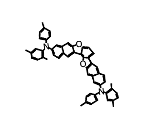 Cc1ccc(N(c2ccc3cc4c(cc3c2)oc2c4ccc3oc4cc5cc(N(c6ccc(C)cc6)c6cc(C)ccc6C)ccc5cc4c32)c2cc(C)ccc2C)cc1